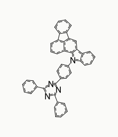 c1ccc(-c2nc(-c3ccccc3)nc(-c3ccc(-n4c5ccccc5c5cc6c7c(cccc7c54)-c4ccccc4-6)cc3)n2)cc1